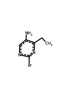 CCc1nc(Br)ncc1N